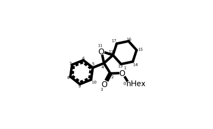 CCCCCCOC(=O)C1(c2ccccc2)OC12CCCCC2